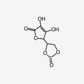 O=C1OC(C2COS(=O)O2)C(O)=C1O